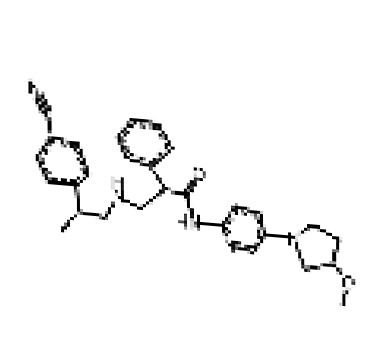 CO[C@@H]1CCN(c2ccc(NC(=O)C(CNC[C@@H](C)c3ccc(C#N)cc3)c3ccccc3)nc2)C1